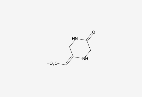 O=C(O)/C=C1\CNC(=O)CN1